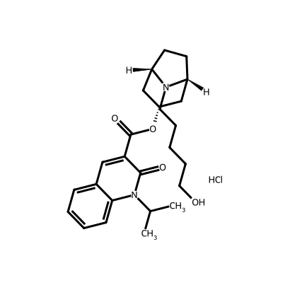 CC(C)n1c(=O)c(C(=O)O[C@H]2C[C@H]3CC[C@@H](C2)N3CCCCCO)cc2ccccc21.Cl